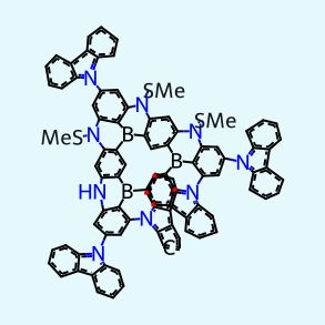 CSN1c2cc3c(cc2B2c4cc5c(cc4N(SC)c4cc(-n6c7ccccc7c7ccccc76)cc1c42)N(SC)c1cc(-n2c4ccccc4c4ccccc42)cc2c1B5c1cccc4c5ccccc5n-2c14)B1c2c(cc(-n4c5ccccc5c5ccccc54)cc2-n2c4ccccc4c4cccc1c42)N3